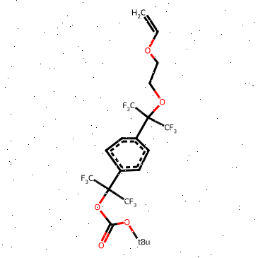 C=COCCOC(c1ccc(C(OC(=O)OC(C)(C)C)(C(F)(F)F)C(F)(F)F)cc1)(C(F)(F)F)C(F)(F)F